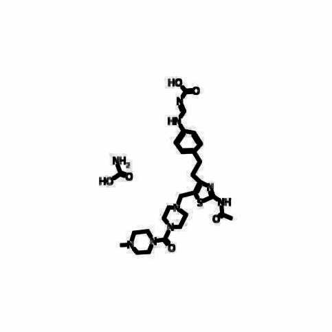 CC(=O)Nc1nc(CCc2ccc(NC=NC(=O)O)cc2)c(CN2CCN(C(=O)N3CCN(C)CC3)CC2)s1.NC(=O)O